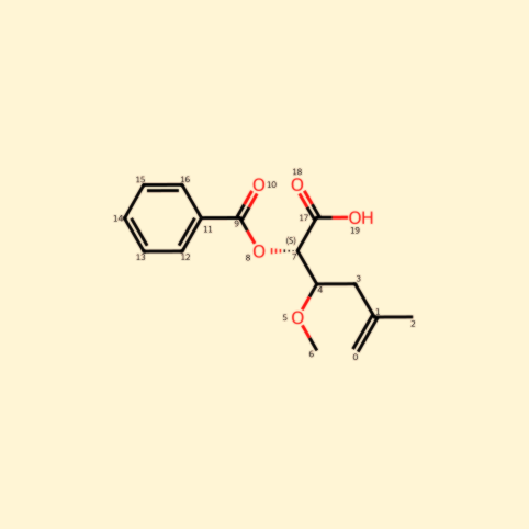 C=C(C)CC(OC)[C@H](OC(=O)c1ccccc1)C(=O)O